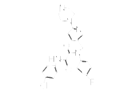 CN1CCN(c2ccc(CN(C(=O)C(=O)Nc3ccc(Cl)cc3)c3ccc(F)cc3)cn2)CC1